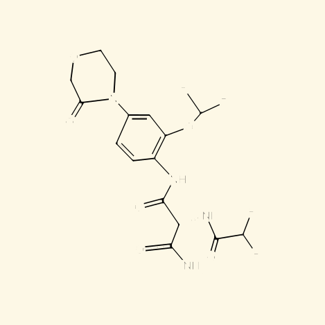 NC(=O)[C@@H](NC(=O)C(F)F)C(=O)Nc1ccc(N2CCOCC2=O)cc1OC(F)F